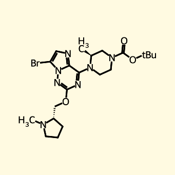 C[C@H]1CN(C(=O)OC(C)(C)C)CCN1c1nc(OC[C@@H]2CCCN2C)nn2c(Br)cnc12